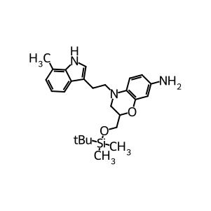 Cc1cccc2c(CCN3CC(CO[Si](C)(C)C(C)(C)C)Oc4cc(N)ccc43)c[nH]c12